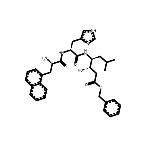 CC(C)C[C@H](NC(=O)[C@H](Cc1c[nH]cn1)NC(=O)[C@H](N)Cc1cccc2ccccc12)[C@@H](O)CC(=O)OCc1ccccc1